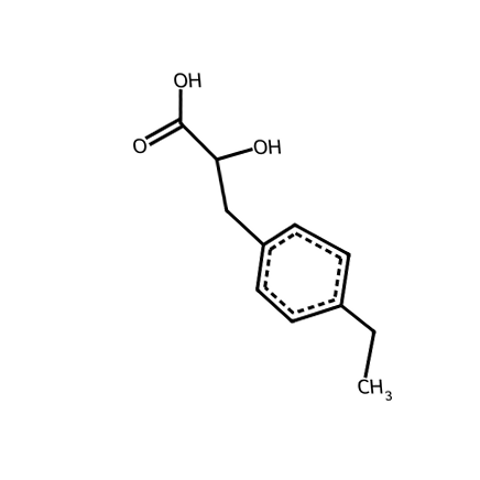 CCc1ccc(CC(O)C(=O)O)cc1